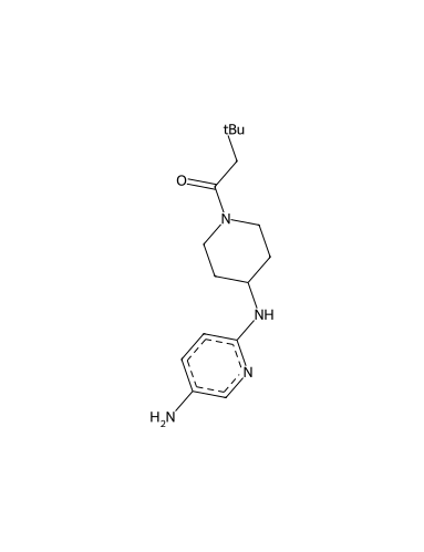 CC(C)(C)CC(=O)N1CCC(Nc2ccc(N)cn2)CC1